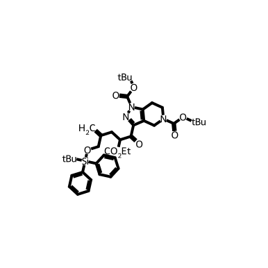 C=C(CO[Si](c1ccccc1)(c1ccccc1)C(C)(C)C)CC(C(=O)OCC)C(=O)c1nn(C(=O)OC(C)(C)C)c2c1CN(C(=O)OC(C)(C)C)CC2